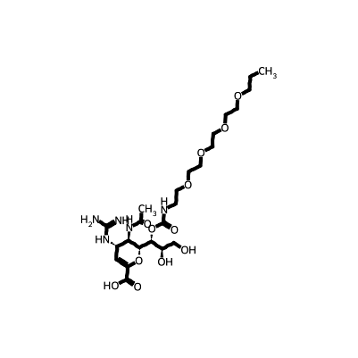 CCCOCCOCCOCCOCCNC(=O)O[C@@H]([C@@H]1OC(C(=O)O)=C[C@H](NC(=N)N)[C@H]1NC(C)=O)[C@H](O)CO